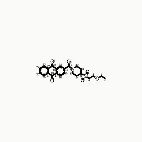 CCOCCS(=O)(=O)C1CCN(C(=O)c2ccc3c(c2)C(=O)c2ccccc2C3=O)CC1